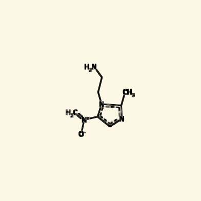 C=[N+]([O-])c1cnc(C)n1CCN